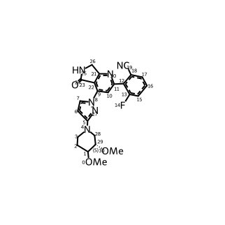 COC1CCN(c2ccn(-c3cc(-c4c(F)cccc4C#N)nc4c3C(=O)NC4)n2)C[C@@H]1OC